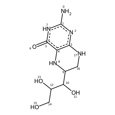 Nc1nc2c(c(=O)[nH]1)NC(C(O)C(O)CO)CN2